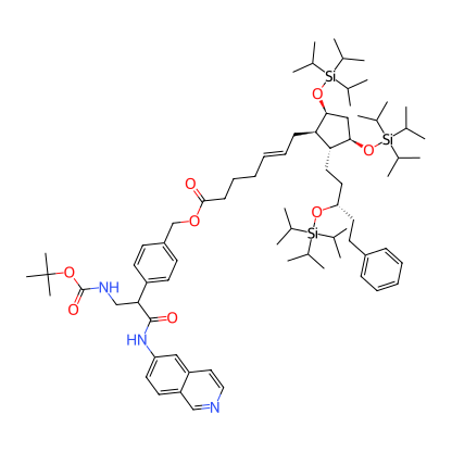 CC(C)[Si](O[C@@H](CCc1ccccc1)CC[C@@H]1[C@@H](CC=CCCCC(=O)OCc2ccc(C(CNC(=O)OC(C)(C)C)C(=O)Nc3ccc4cnccc4c3)cc2)[C@@H](O[Si](C(C)C)(C(C)C)C(C)C)C[C@H]1O[Si](C(C)C)(C(C)C)C(C)C)(C(C)C)C(C)C